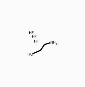 F.F.F.NCCO